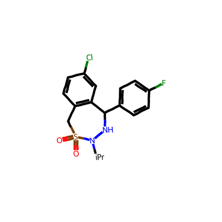 CC(C)N1NC(c2ccc(F)cc2)c2cc(Cl)ccc2CS1(=O)=O